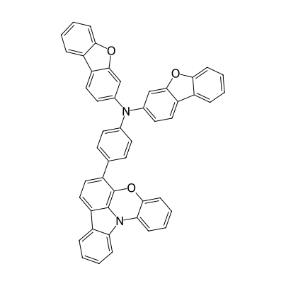 c1ccc2c(c1)Oc1c(-c3ccc(N(c4ccc5c(c4)oc4ccccc45)c4ccc5c(c4)oc4ccccc45)cc3)ccc3c4ccccc4n-2c13